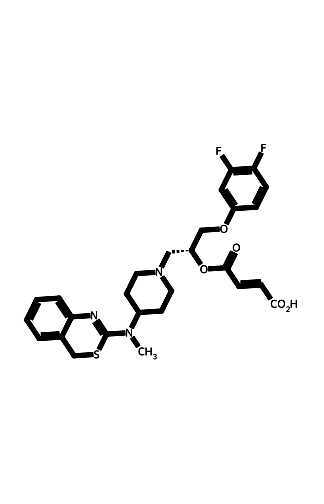 CN(C1=Nc2ccccc2CS1)C1CCN(C[C@H](COc2ccc(F)c(F)c2)OC(=O)/C=C/C(=O)O)CC1